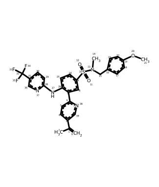 C=C(C)c1ccc(-c2cc(S(=O)(=O)N(C)Cc3ccc(OC)cc3)ccc2Nc2ccc(C(F)(F)F)cn2)nc1